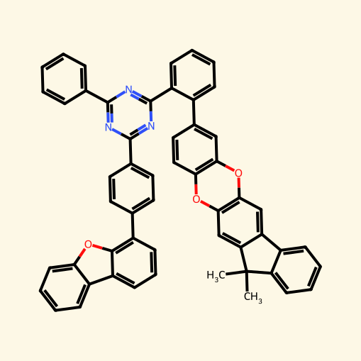 CC1(C)c2ccccc2-c2cc3c(cc21)Oc1ccc(-c2ccccc2-c2nc(-c4ccccc4)nc(-c4ccc(-c5cccc6c5oc5ccccc56)cc4)n2)cc1O3